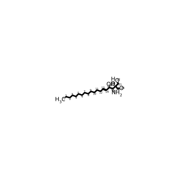 CCCCCCCCCCCCC/C=C/[C@@H](O)[C@@H](N)C(O)(C=O)C=O